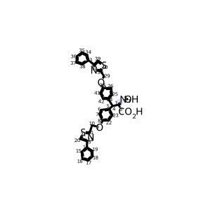 O=C(O)/C(=N\O)C(c1ccc(OCc2nc(-c3ccccc3)cs2)cc1)c1ccc(OCc2nc(-c3ccccc3)cs2)cc1